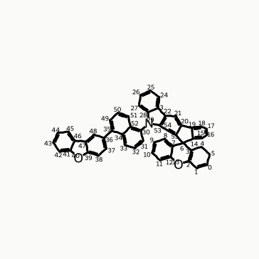 C1=CC2=C(CC1)C1(c3ccccc3O2)c2ccccc2-c2cc3c4ccccc4n(-c4cccc5c(-c6ccc7oc8ccccc8c7c6)cccc45)c3cc21